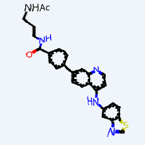 CC(=O)NCCCNC(=O)c1ccc(-c2ccc3c(Nc4ccc5scnc5c4)ccnc3c2)cc1